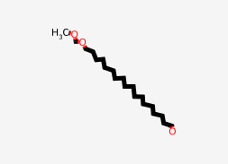 COCOCCCCCCCCCCCCCCCCCC=O